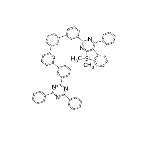 C[Si]1(C)c2ccccc2-c2c(-c3ccccc3)nc(-c3cccc(-c4cccc(-c5cccc(-c6cccc(-c7nc(-c8ccccc8)nc(-c8ccccc8)n7)c6)c5)c4)c3)nc21